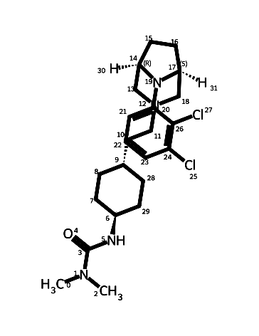 CN(C)C(=O)N[C@H]1CC[C@H](CCN2C[C@H]3CC[C@@H](C2)N3c2cccc(Cl)c2Cl)CC1